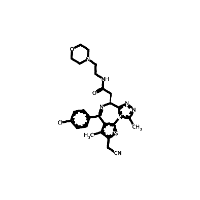 Cc1c(CC#N)sc2c1C(c1ccc(Cl)cc1)=N[C@@H](CC(=O)NCCN1CCOCC1)c1nnc(C)n1-2